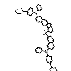 CC1(C)c2cc3cc(N(c4ccccc4)c4ccc(C5CCCCC5)cc4)ccc3cc2-c2ccc3sc4cc5cc(N(c6ccccc6)c6ccc(C7CCCCC7)cc6)ccc5cc4c3c21